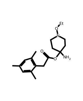 CCON1CCC(N)(OC(=O)Cc2c(C)cc(C)cc2C)CC1